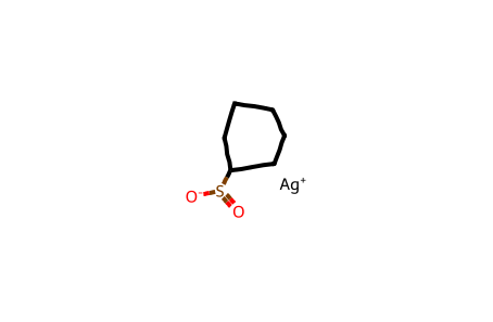 O=S([O-])C1CCCCC1.[Ag+]